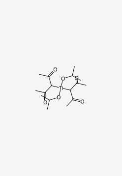 CC(=O)[CH](C(C)=O)[Ti]([O]C(C)C)([O]C(C)C)[CH](C(C)=O)C(C)=O